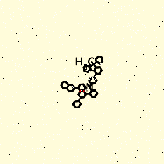 CC1(c2ccccc2)c2ccccc2-c2c(-c3ccc(N(c4ccc(-c5ccc6ccccc6c5)cc4)c4ccccc4-c4cccc(-c5ccccc5)c4)cc3)cccc21